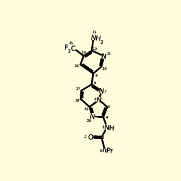 CCCC(=O)Nc1cn2nc(-c3cnc(N)c(C(F)(F)F)c3)ccc2n1